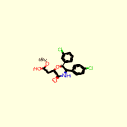 CC(C)(C)OC(O)CC1O[C@@H](c2cccc(Cl)c2)C(c2ccc(Cl)cc2)NC1=O